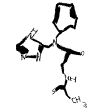 CC(=S)NCC(=O)N(c1ccccc1)c1nnc[nH]1